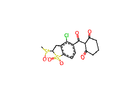 C[S+]([O-])C1Cc2c(ccc(C(=O)C3C(=O)CCCC3=O)c2Cl)S1(=O)=O